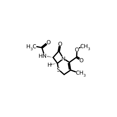 COC(=O)C1=C(C)CS[C@H]2[C@H](NC(C)=O)C(=O)N12